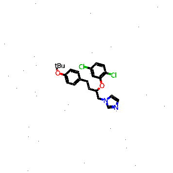 CC(C)(C)Oc1ccc(CCC(Cn2ccnc2)Oc2cc(Cl)ccc2Cl)cc1